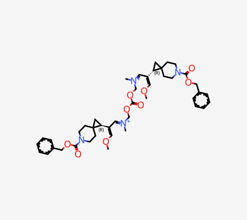 COC=C(C=[N+](C)COC(=O)OC[N+](C)=CC(=COC)[C@@H]1CC12CCN(C(=O)OCc1ccccc1)CC2)[C@@H]1CC12CCN(C(=O)OCc1ccccc1)CC2